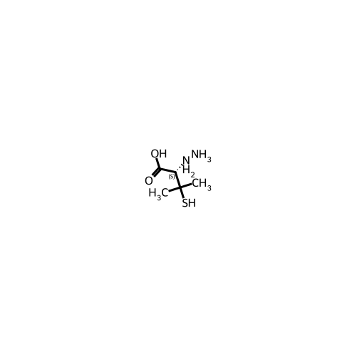 CC(C)(S)[C@@H](N)C(=O)O.N